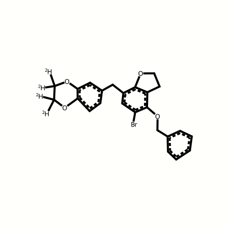 [2H]C1([2H])Oc2ccc(Cc3cc(Br)c(OCc4ccccc4)c4c3OCC4)cc2OC1([2H])[2H]